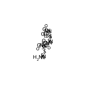 CC(C)(C)C(=O)OCN(C(=O)Cc1ccccc1)c1nnc(CCSCCc2nnc(N(COC(=O)C(C)(C)CN(C(=O)Cc3ccccc3)c3nnc(CCSCCc4nnc(N)s4)s3)C(=O)Cc3ccccc3)s2)s1